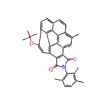 Cc1ccc(C)c(-n2c(=O)c3c4cc(C)c5ccc6ccc7c(OC(C)(C)C)cc(c3c2=O)c2c7c6c5c42)c1C